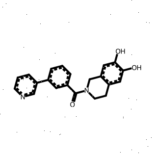 O=C(c1cccc(-c2cccnc2)c1)N1CCc2cc(O)c(O)cc2C1